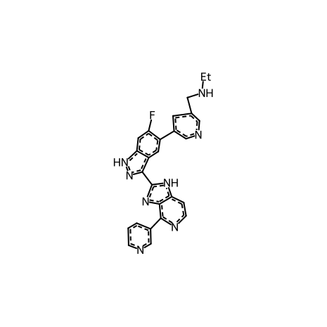 CCNCc1cncc(-c2cc3c(-c4nc5c(-c6cccnc6)nccc5[nH]4)n[nH]c3cc2F)c1